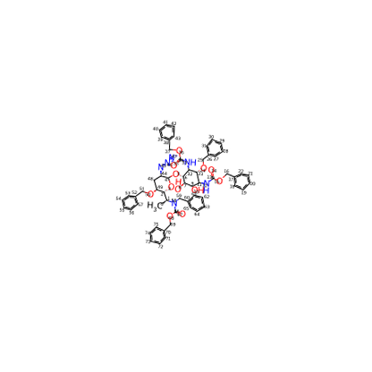 C[C@@H]([C@H]1OC(O[C@H]2[C@H](O)[C@@H](O)[C@H](NC(=O)OCc3ccccc3)[C@@H](OCc3ccccc3)[C@@H]2NC(=O)OCc2ccccc2)[C@H](N=[N+]=[N-])C[C@@H]1OCc1ccccc1)N(Cc1ccccc1)C(=O)OCc1ccccc1